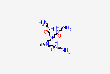 CCCN(CCC(=O)NCCN)CCN(CCC(=O)NCCN)CCC(=O)NCCN